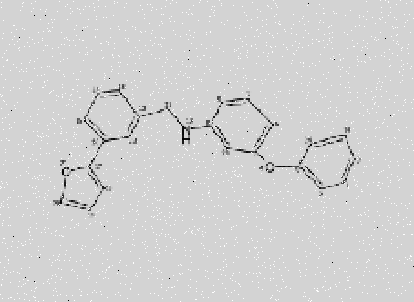 c1ccc(Oc2cccc(NCc3cccc(-c4ccco4)c3)c2)cc1